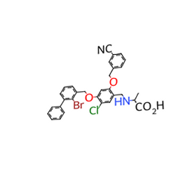 C[C@H](NCc1cc(Cl)c(OCc2cccc(-c3ccccc3)c2Br)cc1OCc1cccc(C#N)c1)C(=O)O